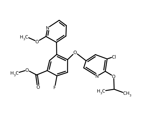 COC(=O)c1cc(-c2cccnc2OC)c(Oc2cnc(OC(C)C)c(Cl)c2)cc1F